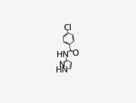 O=C(Nc1cc[nH]n1)c1ccc(Cl)cc1